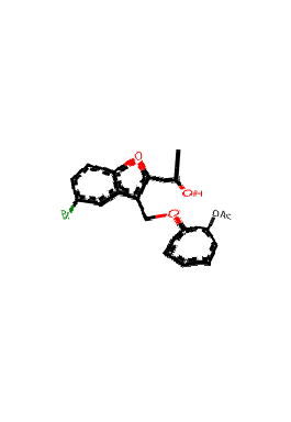 CC(=O)Oc1ccccc1OCc1c(C(C)O)oc2ccc(Br)cc12